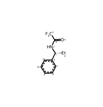 CC[C@@H](NC(=O)C(F)(F)F)c1ccccc1